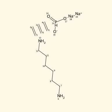 C=C.C=C.C=C.NCCCCCCN.O=[PH]([O-])[O-].[Na+].[Na+]